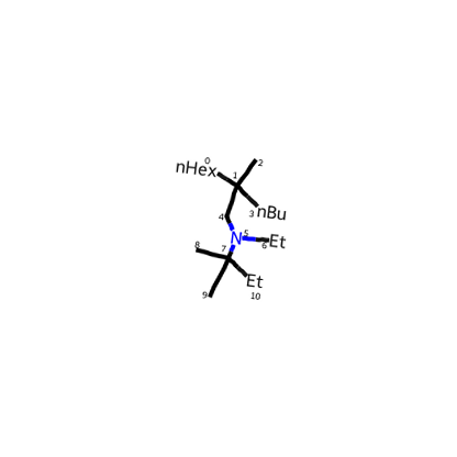 CCCCCCC(C)(CCCC)CN(CC)C(C)(C)CC